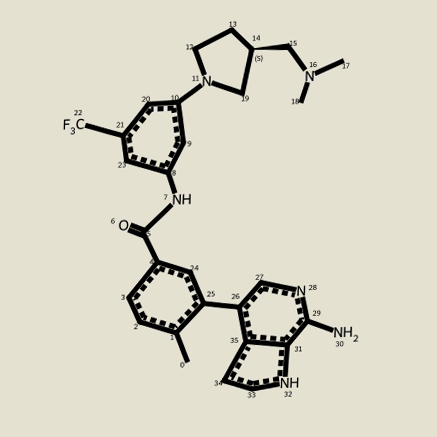 Cc1ccc(C(=O)Nc2cc(N3CC[C@@H](CN(C)C)C3)cc(C(F)(F)F)c2)cc1-c1cnc(N)c2[nH]ccc12